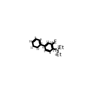 CCN(CC)c1ccc(C2=CC=CCC2)cc1F